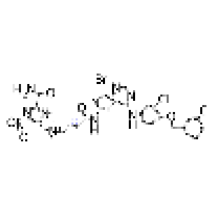 Cn1c(C(N)=O)nc([N+](=O)[O-])c1C[N+](C)(C)C/C=C/C(=O)Nc1cc2c(Nc3ccc(OCc4cccc(Cl)c4)c(Cl)c3)ncnc2cn1.[Br-]